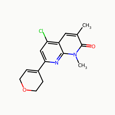 Cc1cc2c(Cl)cc(C3=CCOCC3)nc2n(C)c1=O